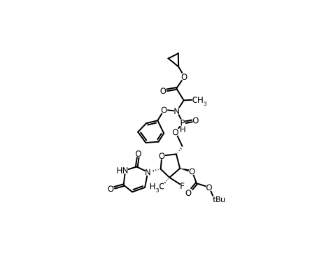 CC(C(=O)OC1CC1)N(Oc1ccccc1)[PH](=O)OC[C@H]1O[C@@H](n2ccc(=O)[nH]c2=O)[C@](C)(F)[C@@H]1OC(=O)OC(C)(C)C